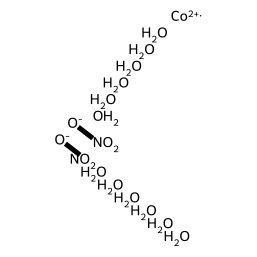 O.O.O.O.O.O.O.O.O.O.O.O.O=[N+]([O-])[O-].O=[N+]([O-])[O-].[Co+2]